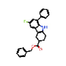 O=C(OCc1ccccc1)C1CCc2[nH]c3c(-c4ccccc4)cc(F)cc3c2C1